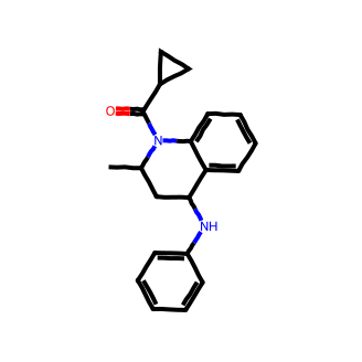 CC1CC(Nc2ccccc2)c2ccccc2N1C(=O)C1CC1